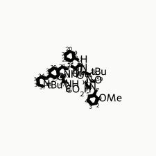 COc1ccccc1CN1CCN([C@H](C(=O)N[C@@H](Cc2ccccc2)[C@@H](O)C[C@@H](Cc2ccc(-c3ccccn3)cc2)NC(=O)[C@@H](NC(=O)O)C(C)(C)C)C(C)(C)C)C1=O